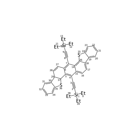 CC[Si](C#Cc1c2c(c(C#C[Si](CC)(CC)CC)c3c1ccc1c4ccccc4sc13)C=CC1c3ccccc3SC21)(CC)CC